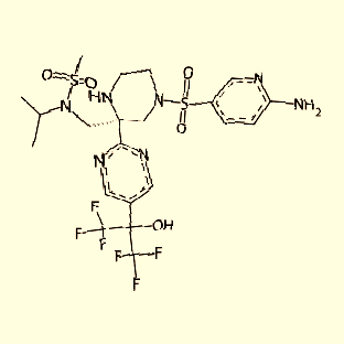 CC(C)N(C[C@@]1(c2ncc(C(O)(C(F)(F)F)C(F)(F)F)cn2)CN(S(=O)(=O)c2ccc(N)nc2)CCN1)S(C)(=O)=O